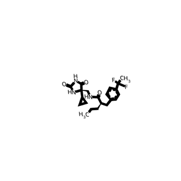 CCC[C@H](Cc1ccc(C(C)(F)F)cc1)C(=O)NC[C@@]1(C2CC2)NC(=O)NC1=O